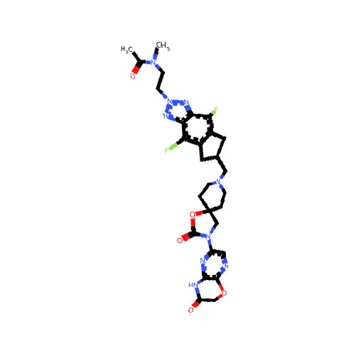 CC(=O)N(C)CCn1nc2c(F)c3c(c(F)c2n1)CC(CN1CCC2(CC1)CN(c1cnc4c(n1)NC(=O)CO4)C(=O)O2)C3